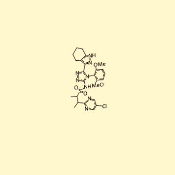 COc1cccc(OC)c1-n1c(NS(=O)(=O)C(C)C(C)c2ncc(Cl)cn2)nnc1-c1n[nH]c2c1CCCC2